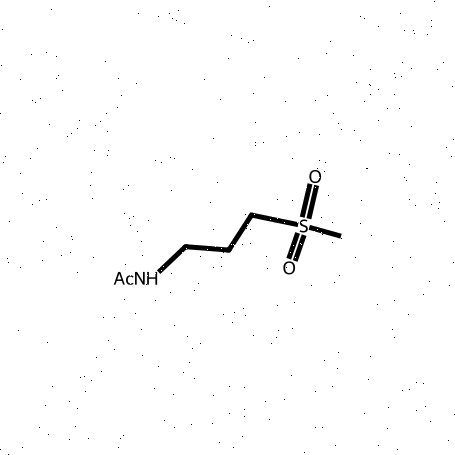 CC(=O)NCCCS(C)(=O)=O